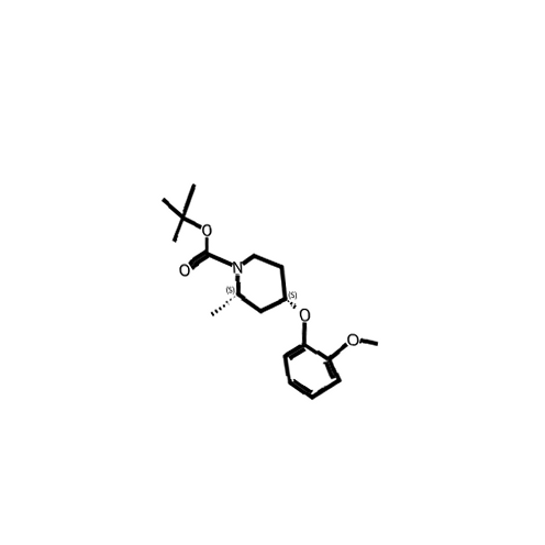 COc1ccccc1O[C@H]1CCN(C(=O)OC(C)(C)C)[C@@H](C)C1